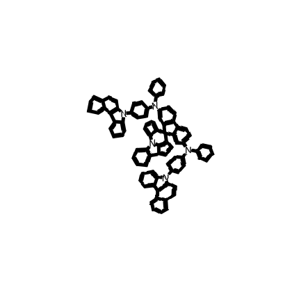 c1ccc(N(c2ccc(-n3c4ccccc4c4c5ccccc5ccc43)cc2)c2ccc3c(c2)C2(c4cc(N(c5ccccc5)c5ccc(-n6c7ccccc7c7c8ccccc8ccc76)cc5)ccc4-3)c3ccccc3-n3c4ccccc4c4cccc2c43)cc1